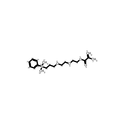 C=C(C)C(=O)OCCOCCOCCC[Si](C)(C)c1ccccc1